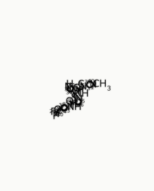 CN1CCC(N(C)CC(=O)NC(Sc2ncccc2C(=O)Nc2ccc(OC(F)(F)F)cc2)c2ccncc2)CC1